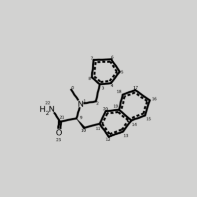 CN(Cc1ccccc1)[C@@H](Cc1ccc2ccccc2c1)C(N)=O